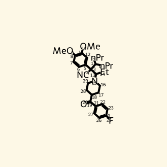 CCCC(CCC)C(C#N)(c1ccc(OC)c(OC)c1)C(CC)N1CCC(C(=O)c2ccc(F)cc2)CC1